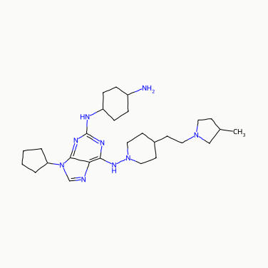 CC1CCN(CCC2CCN(Nc3nc(NC4CCC(N)CC4)nc4c3ncn4C3CCCC3)CC2)C1